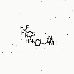 C[C@H](c1ccc(Nc2nc(C(F)(F)F)cs2)cc1)c1cnn[nH]1